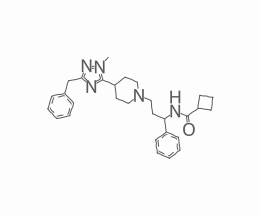 Cn1nc(Cc2ccccc2)nc1C1CCN(CCC(NC(=O)C2CCC2)c2ccccc2)CC1